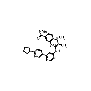 CNC(=O)c1ccc([C@H](C)C(C)CNc2cc(-c3ccc(N4CCCC4)nc3)ncn2)c(OC)c1